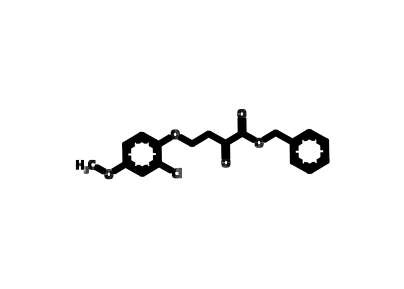 COc1ccc(OCCC(=O)C(=O)OCc2ccccc2)c(Cl)c1